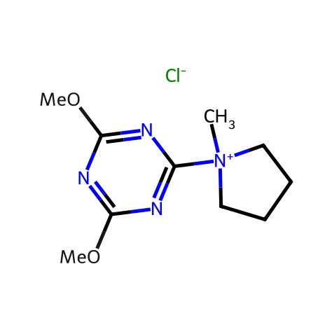 COc1nc(OC)nc([N+]2(C)CCCC2)n1.[Cl-]